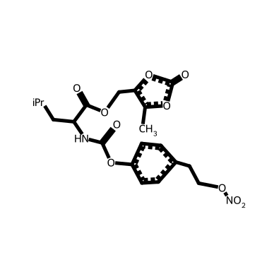 Cc1oc(=O)oc1COC(=O)C(CC(C)C)NC(=O)Oc1ccc(CCO[N+](=O)[O-])cc1